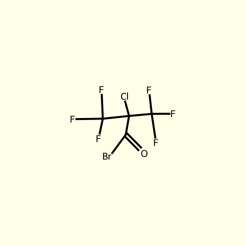 O=C(Br)C(Cl)(C(F)(F)F)C(F)(F)F